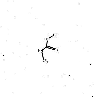 O=C(NC(F)(F)F)NC(F)(F)F